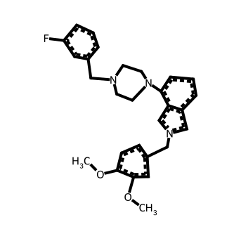 COc1ccc(Cn2cc3cccc(N4CCN(Cc5cccc(F)c5)CC4)c3c2)cc1OC